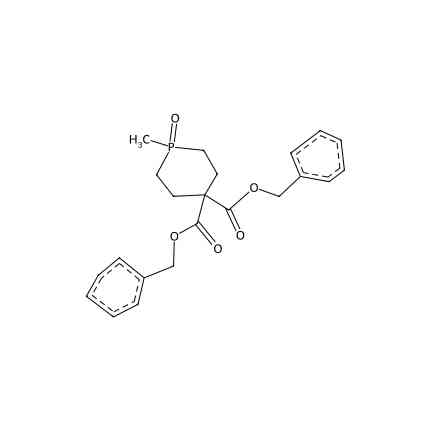 CP1(=O)CCC(C(=O)OCc2ccccc2)(C(=O)OCc2ccccc2)CC1